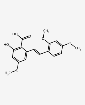 COc1cc(O)c(C(=O)O)c(C=Cc2ccc(OC)cc2OC)c1